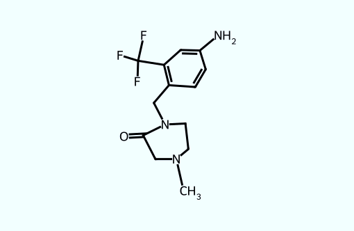 CN1CCN(Cc2ccc(N)cc2C(F)(F)F)C(=O)C1